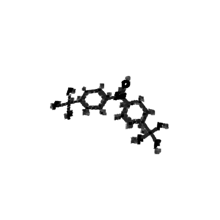 O=[Se](c1ccc(C(F)(F)F)cc1)c1ccc(C(F)(F)F)cc1